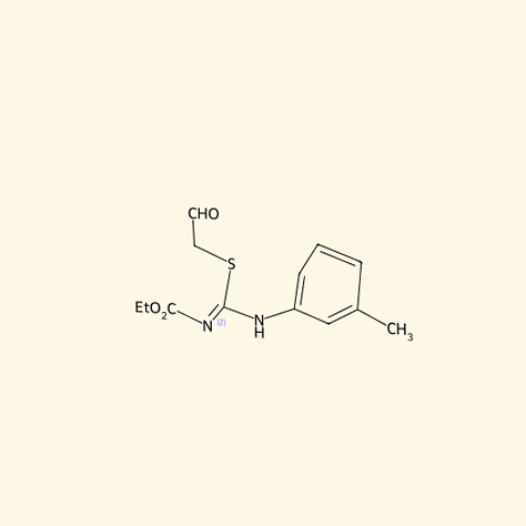 CCOC(=O)/N=C(/Nc1cccc(C)c1)SCC=O